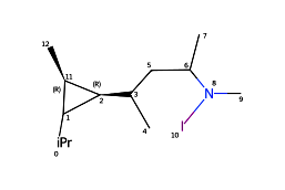 CC(C)C1[C@H](C(C)CC(C)N(C)I)[C@@H]1C